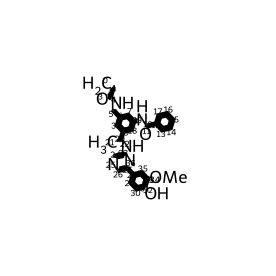 C=CC(=O)NCc1cc(NC(=O)c2ccccc2)cc([C@H](C)Nc2cncc(-c3ccc(O)c(OC)c3)n2)c1